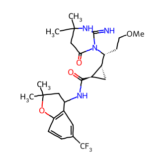 COCC[C@H]([C@@H]1C[C@H]1C(=O)NC1CC(C)(C)Oc2ccc(C(F)(F)F)cc21)N1C(=N)NC(C)(C)CC1=O